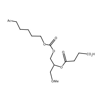 COCC(COC(=O)OCCCCCC(C)=O)OC(=O)CCC(=O)O